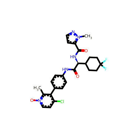 Cc1c(-c2ccc(NC(=O)[C@@H](NC(=O)c3ccnn3C)C3CCC(F)(F)CC3)cc2)c(Cl)cc[n+]1[O-]